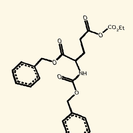 CCOC(=O)OC(=O)CCC(NC(=O)OCc1ccccc1)C(=O)OCc1ccccc1